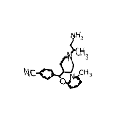 Cc1cccc(OC(c2ccc(C#N)cc2)C2CCN(C(C)CCN)CC2)n1